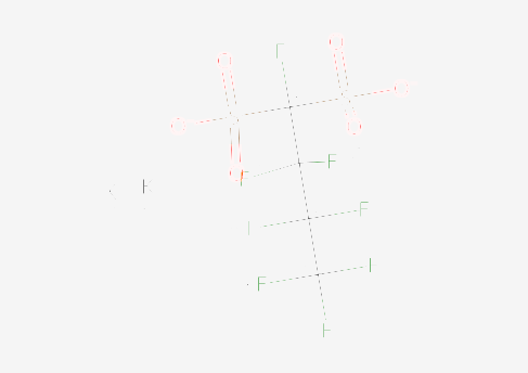 O=S(=O)([O-])C(F)(C(F)(F)C(F)(F)C(F)(F)F)S(=O)(=O)[O-].[K+].[K+]